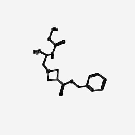 CC(CN1CC(C(=O)OCc2ccccc2)C1)NC(=O)OC(C)(C)C